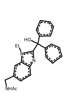 CCn1c(C(O)(c2ccccc2)c2ccccc2)nc2ccc(CNC(C)=O)cc21